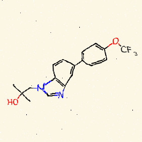 CC(C)(O)Cn1cnc2cc(-c3ccc(OC(F)(F)F)cc3)ccc21